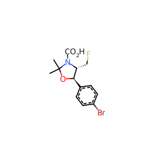 CC1(C)O[C@H](c2ccc(Br)cc2)[C@@H](CF)N1C(=O)O